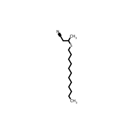 CCCCCCCCCCCCSC(C)CC#N